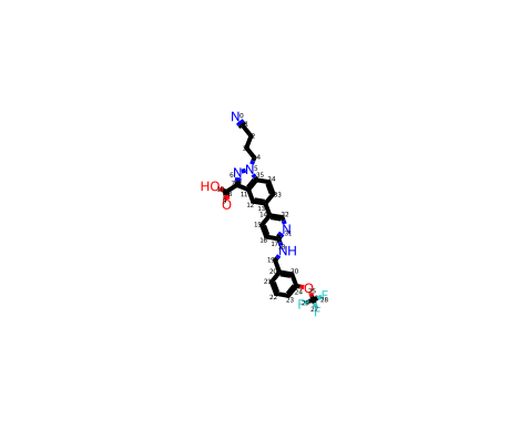 N#CCCCn1nc(C(=O)O)c2cc(-c3ccc(NCc4cccc(OC(F)(F)F)c4)nc3)ccc21